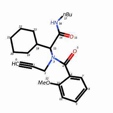 C#CCN(C(=O)c1ccccc1OC)C(C(=O)NCCCC)C1CCCCC1